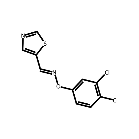 Clc1ccc(ON=Cc2cncs2)cc1Cl